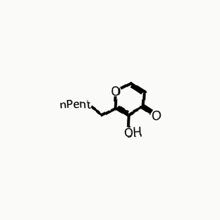 CCCCCCc1occc(=O)c1O